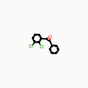 Clc1cccc(C2OC2c2ccccc2)c1Cl